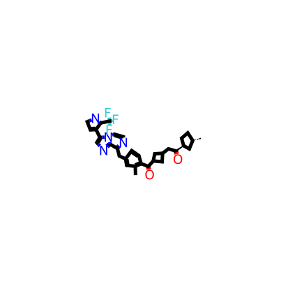 Cc1cc(Cc2nccn3c(C4=CCN=C4C(F)(F)F)cnc23)ccc1C(=O)C1CC(CC(=O)[C@H]2CC[C@H](C)C2)C1